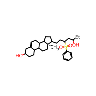 CCC(O)CC(CCC1CCC2C3CC=C4CC(O)CCC4C3CC[C@]12C)S(=O)(=O)c1ccccc1